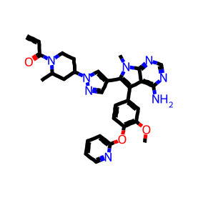 C=CC(=O)N1CCC(n2cc(-c3c(-c4ccc(Oc5ccccn5)c(OC)c4)c4c(N)ncnc4n3C)cn2)CC1C